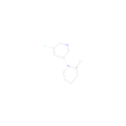 O=c1ccccn1-c1cncc(F)c1